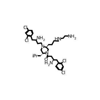 CC(C)C[C@@H]1CN(CC[C@H](N)Cc2ccc(Cl)cc2Cl)[C@@H](CCCCNCCN)CN1C(=O)C[C@H](N)Cc1ccc(Cl)cc1Cl